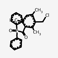 Cc1cc(C)c(C(=O)P(=O)(c2ccccc2)c2ccccc2)c(C)c1CCl